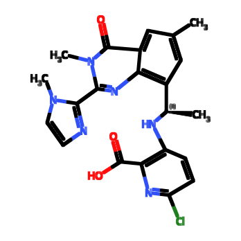 Cc1cc([C@@H](C)Nc2ccc(Cl)nc2C(=O)O)c2nc(-c3nccn3C)n(C)c(=O)c2c1